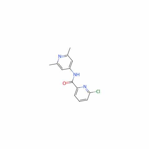 Cc1cc(NC(=O)c2cccc(Cl)n2)cc(C)n1